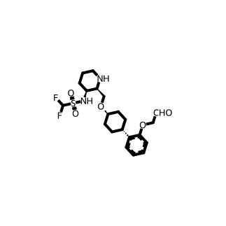 O=CCOc1ccccc1[C@H]1CC[C@@H](OC[C@@H]2NCCC[C@@H]2NS(=O)(=O)C(F)F)CC1